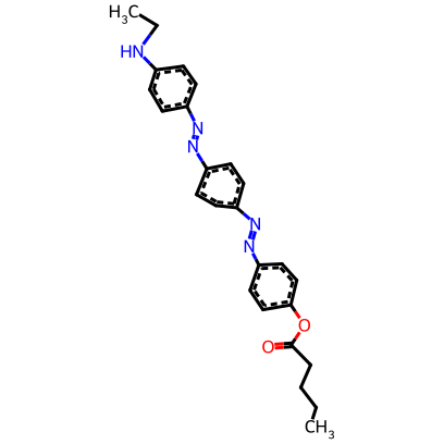 CCCCC(=O)Oc1ccc(N=Nc2ccc(N=Nc3ccc(NCC)cc3)cc2)cc1